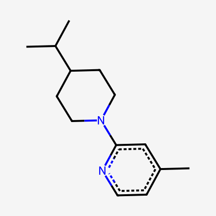 Cc1ccnc(N2CCC(C(C)C)CC2)c1